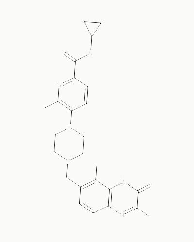 CCc1nc2ccc(CN3CCN(c4ccc(C(=O)NC5CC5)nc4Cl)CC3)c(F)c2[nH]c1=O